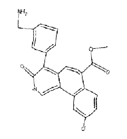 COC(=O)c1cc2c(c3cc(Cl)ccc13)=C[N]C(=O)C=2c1cccc(CN)c1